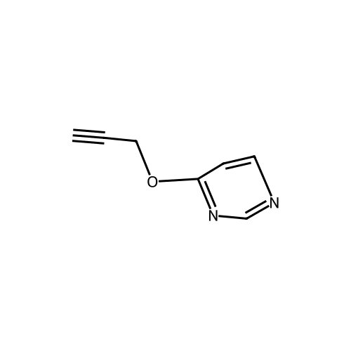 C#CCOc1ccncn1